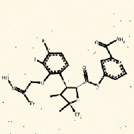 CC(C)/C(COc1c([C@H]2[C@H](C(=O)Nc3ccnc(C(N)=O)c3)O[C@@](C)(C(F)(F)F)[C@H]2C)ccc(F)c1F)=N/O